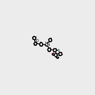 c1ccc(-c2nc(-c3ccc(-c4cccc5c4oc4ccccc45)cc3)cc(-c3cccc(-c4ccc5c(c4)C4(c6ccccc6S5)c5ccccc5-c5ccccc54)c3)n2)cc1